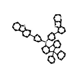 c1ccc(C2(c3ccccc3)c3ccccc3-c3c(N(c4ccc(-c5ccc6c(c5)sc5ccccc56)cc4)c4ccc(-c5cccc6c5sc5ccccc56)cc4)cccc32)cc1